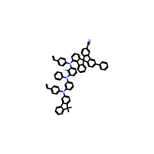 C=Cc1ccc(N(c2cccc(N(c3ccccc3)c3cccc(N(c4ccc(C=C)cc4)c4cccc5c4-c4ccccc4C54c5ccc(C#N)cc5-c5cc(-c6ccccc6)ccc54)c3F)c2)c2ccc3c(c2)-c2ccccc2C3(C)C)cc1